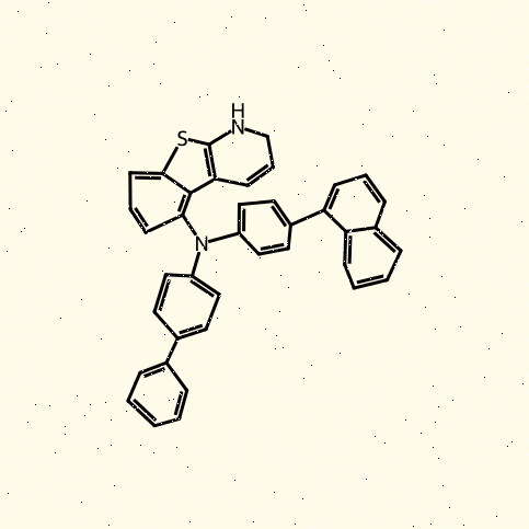 C1=Cc2c(sc3cccc(N(c4ccc(-c5ccccc5)cc4)c4ccc(-c5cccc6ccccc56)cc4)c23)NC1